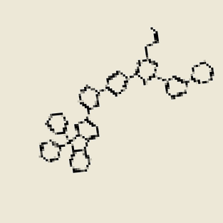 C/C=C\Cc1cc(-c2cccc(C3=CC=CCC3)c2)nc(-c2ccc(-c3cccc(-c4ccc5c(c4)C(C4=CCCC=C4)(c4ccccc4)c4ccccc4-5)c3)cc2)n1